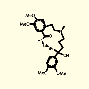 COc1ccc(C(C#N)(CCCN(C)CCc2cc(OC)c(OC)cc2C(=O)NC(C)(C)C)C(C)C)cc1OC